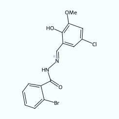 COc1cc(Cl)cc(/C=N/NC(=O)c2ccccc2Br)c1O